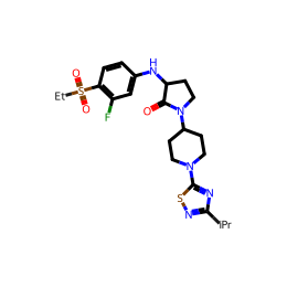 CCS(=O)(=O)c1ccc(NC2CCN(C3CCN(c4nc(C(C)C)ns4)CC3)C2=O)cc1F